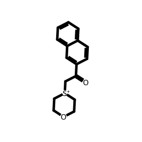 O=C(C[S+]1CCOCC1)c1ccc2ccccc2c1